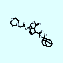 CCC1(OC(=O)C2C3CC4C(OC(=O)C42)C3OC(=O)CN2CCOCC2)C2CC3CC(C2)CC1C3